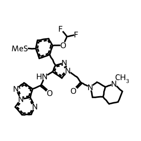 CSc1ccc(OC(F)F)c(-c2nn(CC(=O)N3CC4CCCN(C)C4C3)cc2NC(=O)c2cnn3cccnc23)c1